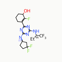 CC[C@@H](Nc1nc(/N=C2/CCC(F)(F)C2)nc(C2=C(F)C(O)CCC2)n1)C(F)(F)F